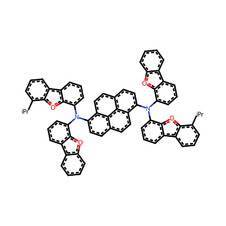 CC(C)c1cccc2c1oc1c(N(c3ccc4ccc5c(N(c6cccc7c6oc6ccccc67)c6cccc7c6oc6c(C(C)C)cccc67)ccc6ccc3c4c65)c3cccc4c3oc3ccccc34)cccc12